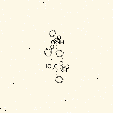 O=C(NC(Cc1ccccc1)C(=O)O)OCc1ccc(C(NS(=O)(=O)c2ccccc2)Oc2ccccc2)cc1